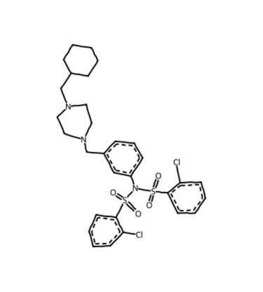 O=S(=O)(c1ccccc1Cl)N(c1cccc(CN2CCN(CC3CCCCC3)CC2)c1)S(=O)(=O)c1ccccc1Cl